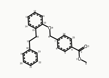 COC(=O)c1ccc(COc2ccccc2CCc2ccccc2)cc1